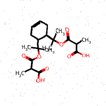 CC(C(=O)O)C(=O)OC(C)(C)C1CC=CCC1C(C)(C)OC(=O)C(C)C(=O)O